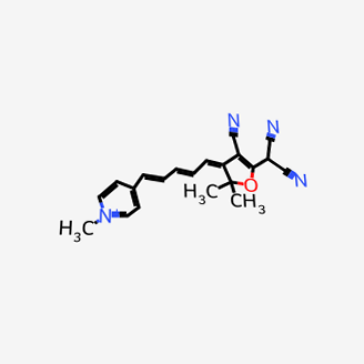 C[n+]1ccc(/C=C/C=C/C=C2/C(C#N)=C(C(C#N)C#N)OC2(C)C)cc1